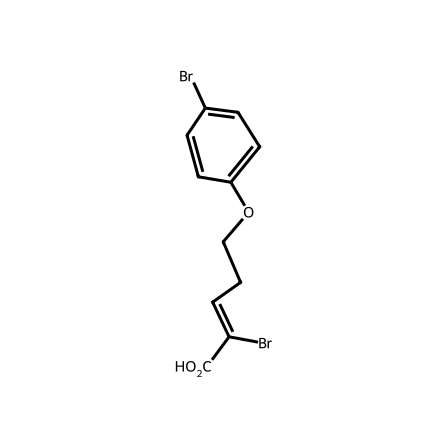 O=C(O)C(Br)=CCCOc1ccc(Br)cc1